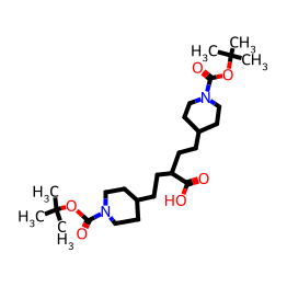 CC(C)(C)OC(=O)N1CCC(CCC(CCC2CCN(C(=O)OC(C)(C)C)CC2)C(=O)O)CC1